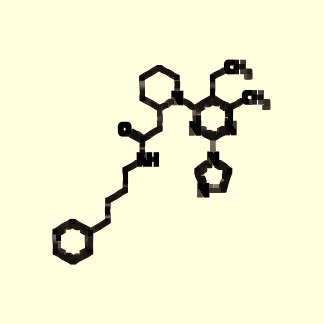 CCc1c(C)nc(-n2ccnc2)nc1N1CCCCC1CC(=O)NCCCCc1ccccc1